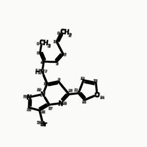 C=C/C=C\C(=C/C)Nc1cc(-c2ccoc2)nc2c(Br)cnn12